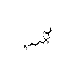 C=CC(=O)OC(F)(F)CCCCC(F)(F)F